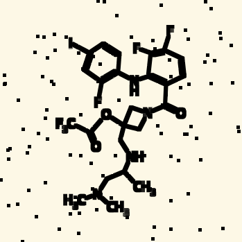 CC(CN(C)C)NCC1(OC(=O)C(F)(F)F)CN(C(=O)c2ccc(F)c(F)c2Nc2ccc(I)cc2F)C1